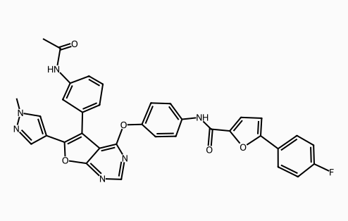 CC(=O)Nc1cccc(-c2c(-c3cnn(C)c3)oc3ncnc(Oc4ccc(NC(=O)c5ccc(-c6ccc(F)cc6)o5)cc4)c23)c1